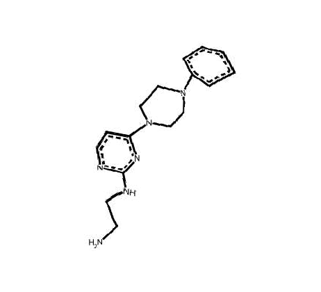 NCCNc1nccc(N2CCN(c3ccccc3)CC2)n1